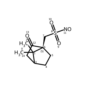 CC1(C)C2CC[C@@]1(CS(=O)(=O)N=O)C(=O)C2